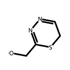 [O]CC1=NN=CCS1